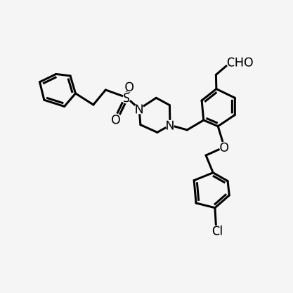 O=CCc1ccc(OCc2ccc(Cl)cc2)c(CN2CCN(S(=O)(=O)CCc3ccccc3)CC2)c1